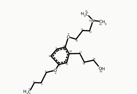 CCCCOc1ccc(OCCCN(C)C)c(CCCO)c1